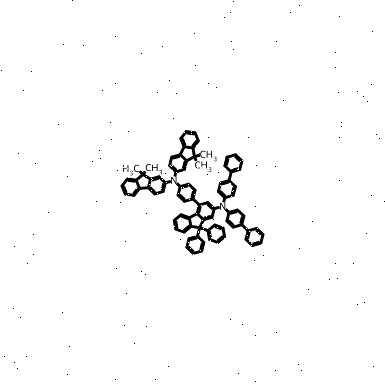 CC1(C)c2ccccc2-c2ccc(N(c3ccc(-c4cc(N(c5ccc(-c6ccccc6)cc5)c5ccc(-c6ccccc6)cc5)cc5c4-c4ccccc4C5(c4ccccc4)c4ccccc4)cc3)c3ccc4c(c3)C(C)(C)c3ccccc3-4)cc21